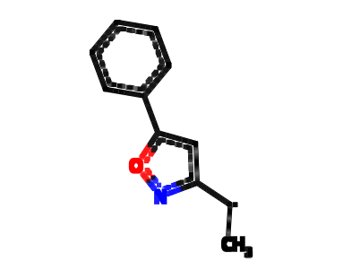 C[CH]c1cc(-c2ccccc2)on1